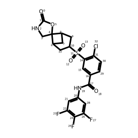 O=C1NCC2(O1)C1CC2CC(S(=O)(=O)c2cc(C(=O)Nc3cc(F)c(F)c(F)c3)ccc2Cl)C1